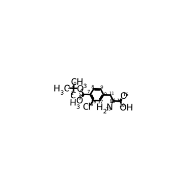 CC(C)(C)OC(=O)c1ccc(C[C@H](N)C(=O)O)cc1Cl